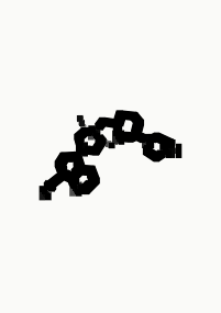 C[C@@H]1CN(c2ccc(C#N)c3ncccc23)C[C@H](C)N1CC1=CCC=C(N2CCNCC2)C=N1